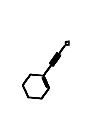 ClC#CC1=CCCCC1